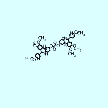 CCOc1cc2c(cc1OC)C(c1ccc(OC)nc1)=N[C@@H]1CC[C@@H](OC(=O)C(=O)O[C@@H]3CC[C@H]4N=C(c5ccc(OC)nc5)c5cc(OC)c(OCC)cc5[C@H]4C3)C[C@H]21